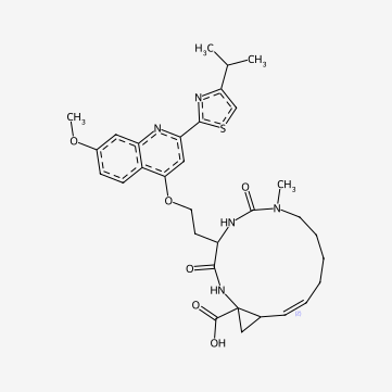 COc1ccc2c(OCCC3NC(=O)N(C)CCCC/C=C\C4CC4(C(=O)O)NC3=O)cc(-c3nc(C(C)C)cs3)nc2c1